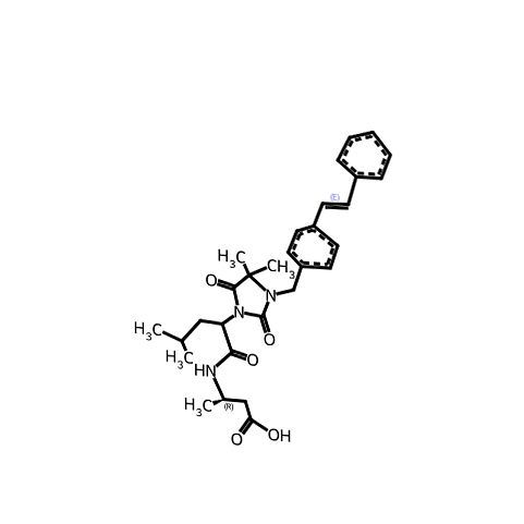 CC(C)CC(C(=O)N[C@H](C)CC(=O)O)N1C(=O)N(Cc2ccc(/C=C/c3ccccc3)cc2)C(C)(C)C1=O